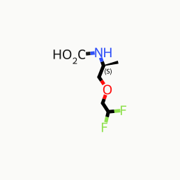 C[C@@H](COCC(F)F)NC(=O)O